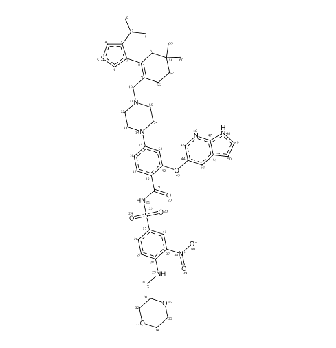 CC(C)c1cscc1C1=C(CN2CCN(c3ccc(C(=O)NS(=O)(=O)c4ccc(NC[C@H]5COCCO5)c([N+](=O)[O-])c4)c(Oc4cnc5[nH]ccc5c4)c3)CC2)CCC(C)(C)C1